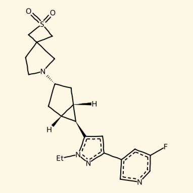 CCn1nc(-c2cncc(F)c2)cc1[C@H]1[C@@H]2C[C@H](N3CCC4(C3)CS(=O)(=O)C4)C[C@@H]21